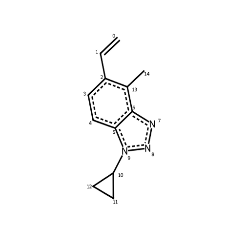 C=Cc1ccc2c(nnn2C2CC2)c1C